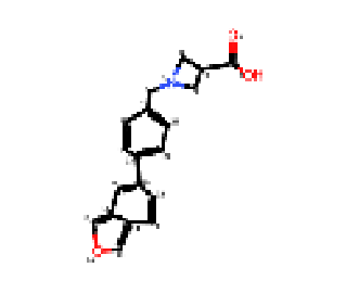 O=C(O)C1CN(Cc2ccc(-c3ccc4cocc4c3)cc2)C1